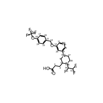 O=C(O)CCC1CN(c2cncc(OCc3ccc(OC(F)(F)F)cc3)c2)CCN1C(F)C(F)F